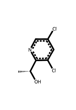 C[C@@H](O)c1ncc(Cl)cc1Cl